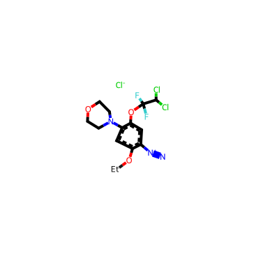 CCOc1cc(N2CCOCC2)c(OC(F)(F)C(Cl)Cl)cc1[N+]#N.[Cl-]